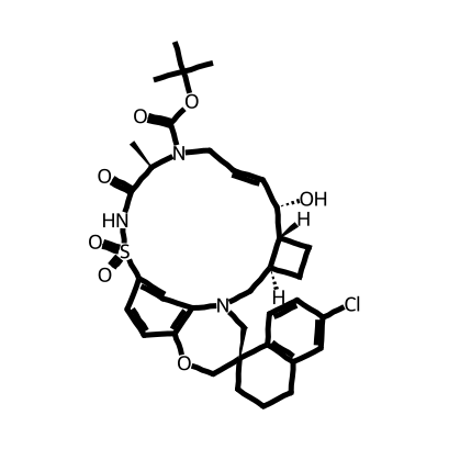 C[C@@H]1C(=O)NS(=O)(=O)c2ccc3c(c2)N(C[C@@H]2CC[C@H]2[C@@H](O)/C=C/CN1C(=O)OC(C)(C)C)C[C@@]1(CCCc2cc(Cl)ccc21)CO3